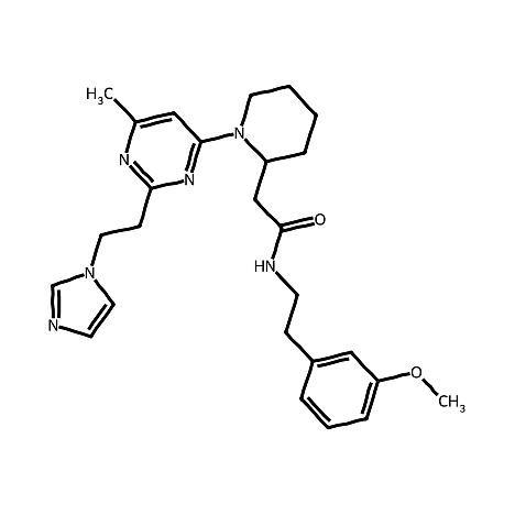 COc1cccc(CCNC(=O)CC2CCCCN2c2cc(C)nc(CCn3ccnc3)n2)c1